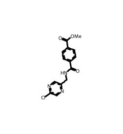 COC(=O)c1ccc(C(=O)NCc2cnc(Cl)cn2)cc1